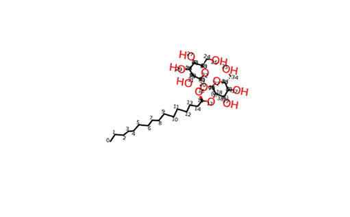 CCCCCCCCCCCCCCCC(=O)O[C@H]1[C@@H](O[C@H]2O[C@H](CO)[C@@H](O)[C@H](O)[C@H]2O)O[C@H](CO)[C@@H](O)[C@@H]1O